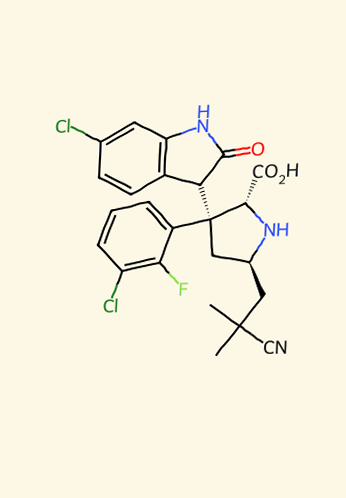 CC(C)(C#N)C[C@H]1C[C@](c2cccc(Cl)c2F)(C2C(=O)Nc3cc(Cl)ccc32)[C@H](C(=O)O)N1